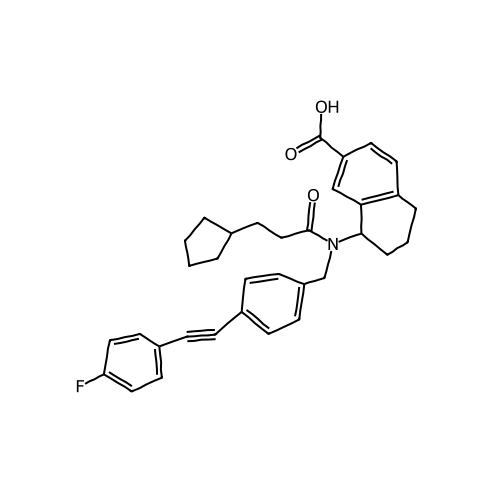 O=C(O)c1ccc2c(c1)C(N(Cc1ccc(C#Cc3ccc(F)cc3)cc1)C(=O)CCC1CCCC1)CCC2